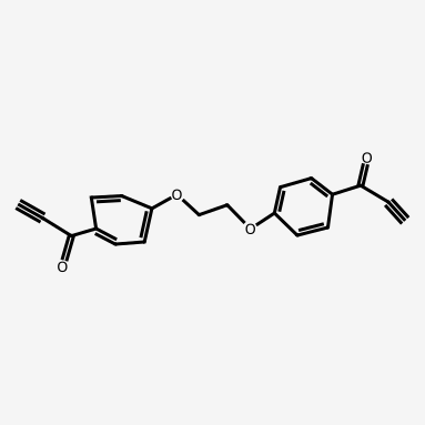 C#CC(=O)c1ccc(OCCOc2ccc(C(=O)C#C)cc2)cc1